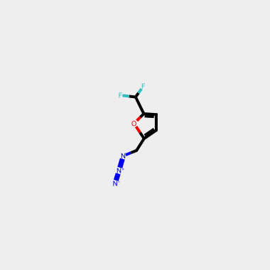 [N-]=[N+]=NCc1ccc(C(F)F)o1